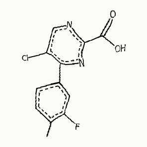 Cc1ccc(-c2nc(C(=O)O)ncc2Cl)cc1F